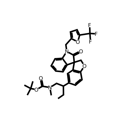 CCC(CN(C)C(=O)OC(C)(C)C)c1ccc2c(c1)C1(CO2)C(=O)N(Cc2ccc(C(F)(F)F)o2)c2ccccc21